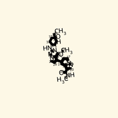 CCC1(O)CCC(Nc2nc(OC)c3c(-c4ccn5ncc(C(=O)NC)c5c4)ccn3n2)CC1